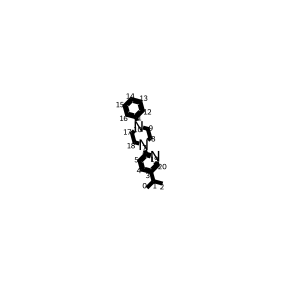 CC(C)c1ccc(N2CCN(c3ccccc3)CC2)nc1